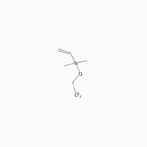 C=C[Si](C)(C)OCC(F)(F)F